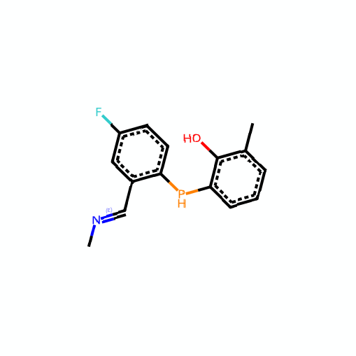 C/N=C/c1cc(F)ccc1Pc1cccc(C)c1O